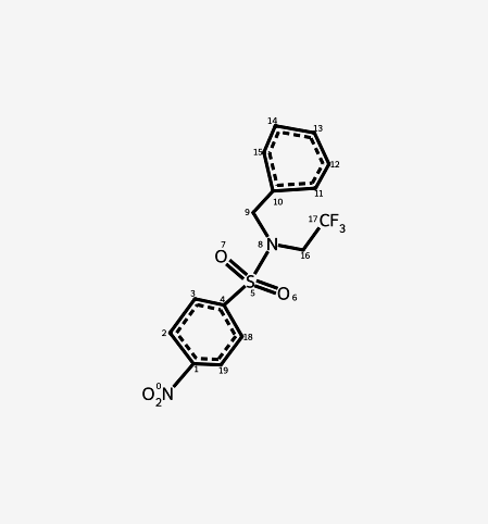 O=[N+]([O-])c1ccc(S(=O)(=O)N(Cc2ccccc2)CC(F)(F)F)cc1